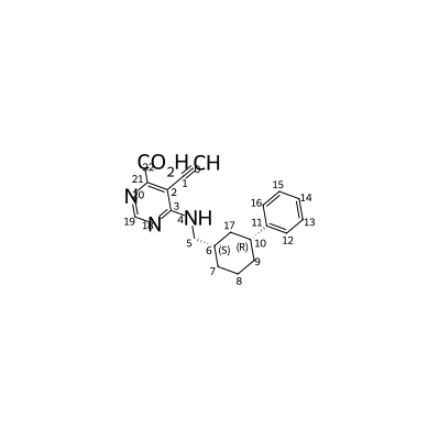 C#Cc1c(NC[C@H]2CCC[C@@H](c3ccccc3)C2)ncnc1C(=O)O